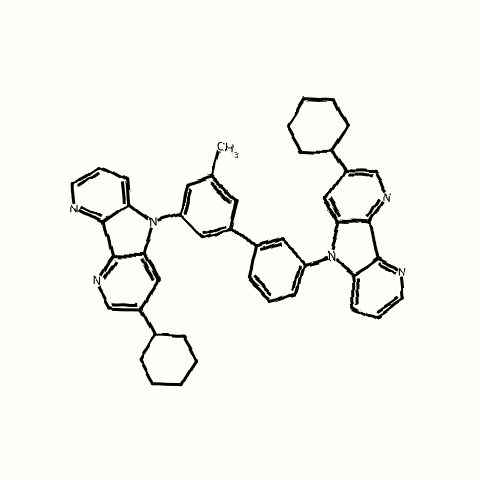 Cc1cc(-c2cccc(-n3c4cccnc4c4ncc(C5CCCCC5)cc43)c2)cc(-n2c3cccnc3c3ncc(C4CCCCC4)cc32)c1